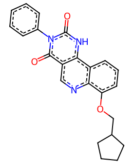 O=c1[nH]c2c(cnc3c(OCC4CCCC4)cccc32)c(=O)n1-c1ccccc1